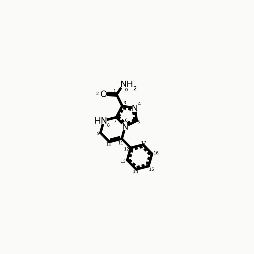 NC(=O)c1ncn2c1NCC=C2c1ccccc1